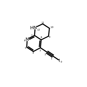 IC#Cc1ccnc2c1CCCN2